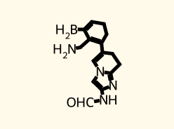 BC1=CCCC(C2=Cn3cc(NC=O)nc3CC2)=C1CN